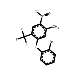 Cc1cc(Oc2ccccc2Br)c(C(F)(F)F)cc1[N+](=O)[O-]